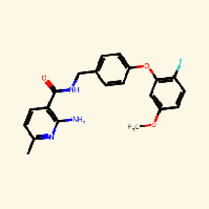 Cc1ccc(C(=O)NCc2ccc(Oc3cc(OC(F)(F)F)ccc3F)cc2)c(N)n1